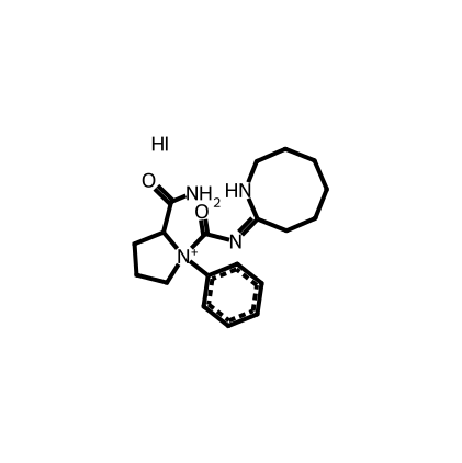 I.NC(=O)C1CCC[N+]1(C(=O)N=C1CCCCCCN1)c1ccccc1